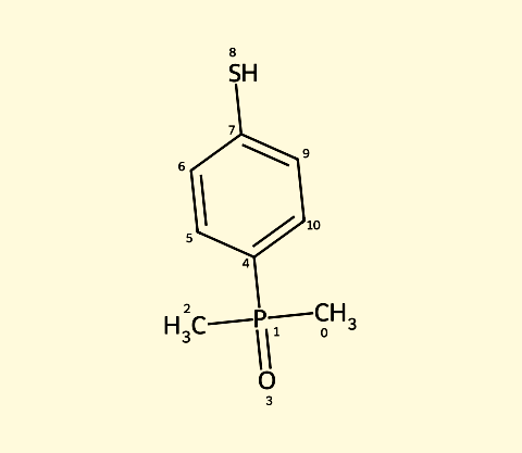 CP(C)(=O)c1ccc(S)cc1